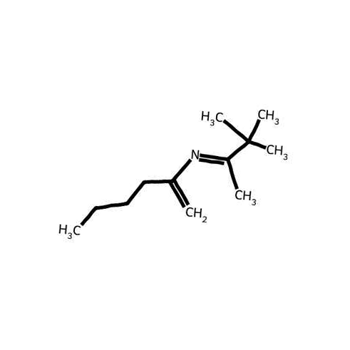 C=C(CCCC)/N=C(\C)C(C)(C)C